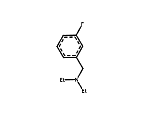 CCN(CC)Cc1cccc(F)c1